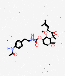 CO[C@H]1[C@H](C2(C)O[C@@H]2CC=C(C)C)[C@]2(CC[C@H]1OC(=O)NCCc1ccc(NC(C)=O)cc1)CO2